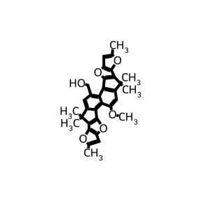 COc1cc2c(c3c(CO)cc4c(c13)-c1oc3cc(C)oc3c1C4(C)C)-c1oc3cc(C)oc3c1C2(C)C